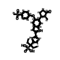 CCC(CC)(c1cnc(-c2cc3cc(Oc4ccc(S(C)(=O)=O)nc4)c(C4CCC(=O)N4C)cc3[nH]2)s1)P(=O)(O)O